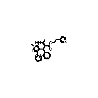 CC1=C(C(=O)OCCc2ccsc2)C(c2ccccc2[N+](=O)[O-])c2c(C3CCCC3)nn(C)c2N1